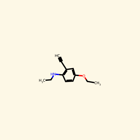 C#Cc1cc(OCC)ccc1NCC